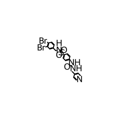 O=C(NCc1ccncc1)Nc1ccc(S(=O)(=O)NCc2ccc(Br)c(Br)c2)cc1